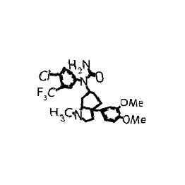 COc1ccc(C23CCC(N(C(N)=O)c4ccc(Cl)c(C(F)(F)F)c4)CC2N(C)CC3)cc1OC